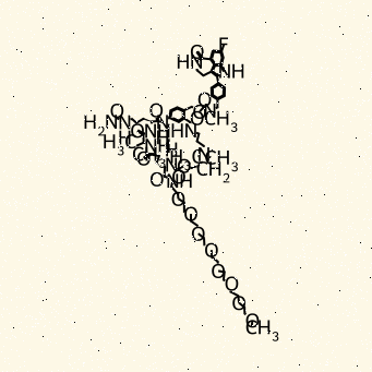 C=CCOC(=O)N[C@@H](CCC(=O)N[C@H](C(=O)N[C@@H](CCCNC(N)=O)C(=O)Nc1ccc(COC(=O)N(C)Cc2ccc(-c3[nH]c4cc(F)cc5c4c3CCNC5=O)cc2)c(C(=O)NCCCN(C)C)c1)C(C)C)C(=O)NCCOCCOCCOCCOCCOCCOCCOCCOC